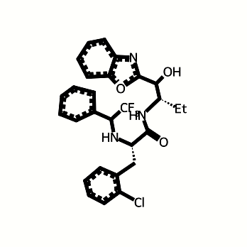 CC[C@H](NC(=O)[C@H](Cc1ccccc1Cl)NC(c1ccccc1)C(F)(F)F)C(O)c1nc2ccccc2o1